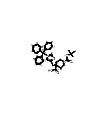 CC(C)(C)OC(=O)N1CCC(Cc2cn(C(c3ccccc3)(c3ccccc3)c3ccccc3)cn2)(C(=O)O)CC1